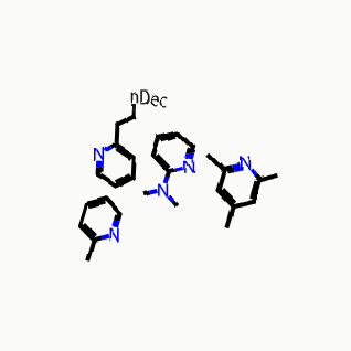 CCCCCCCCCCCCc1ccccn1.CN(C)c1ccccn1.Cc1cc(C)nc(C)c1.Cc1ccccn1